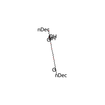 CCCCCCCCCCCCCCCC[C@H](O)CNC(=O)CCCCCCCCCCCCCCCCCCCCCCCCCCCCCC(=O)CCCCCCCCCCCCCCC